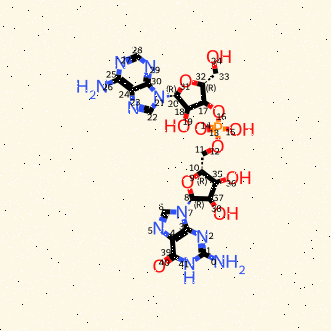 Nc1nc2c(ncn2[C@@H]2O[C@H](COP(=O)(O)OC3C(O)[C@H](n4cnc5c(N)ncnc54)O[C@@H]3CO)C(O)C2O)c(=O)[nH]1